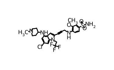 COc1cc(S(N)(=O)=O)ccc1NCC#Cc1cc2c(NC3CCN(C)CC3)cc(Cl)cc2n1CC(F)(F)F